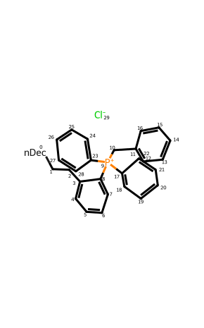 CCCCCCCCCCCCc1ccccc1[P+](Cc1ccccc1)(c1ccccc1)c1ccccc1.[Cl-]